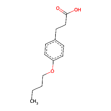 CCCCOc1ccc(CCC(=O)O)cc1